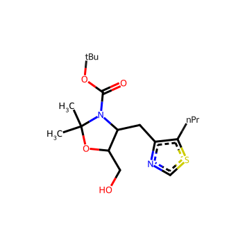 CCCc1scnc1CC1C(CO)OC(C)(C)N1C(=O)OC(C)(C)C